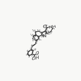 O=C(O)c1cccc(C=Cc2cc3c(cn2)CCc2c-3nn3c2C(=O)NCC3)c1